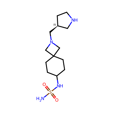 NS(=O)(=O)NC1CCC2(CC1)CN(C[C@H]1CCNC1)C2